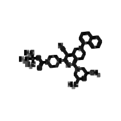 CC1CN(c2nc(N3CCN(C(=O)OC(C)(C)C)CC3)c(C#N)c3c2CCN(c2cccc4ccccc24)C3)CC(C)O1